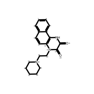 O=c1[nH]c2c3ccccc3ccc2n(CCN2CCCCC2)c1=O